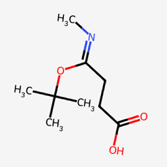 CN=C(CCC(=O)O)OC(C)(C)C